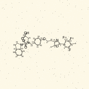 Cc1oc(-c2cc(F)c(C)c(F)c2F)nc1CCOc1ccc(CN(CC(=O)O)S(=O)(=O)N2CCc3ccccc32)cc1